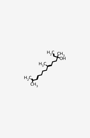 C=CC(C)(O)CC/C=C(\C)CCC/C=C/C(=C)C